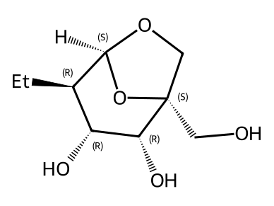 CC[C@H]1[C@H]2OC[C@](CO)(O2)[C@H](O)[C@@H]1O